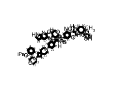 CC(C)Oc1ccccc1[C@@H]1COCCN1C1CC2(CCN(c3ccc(C(=O)NS(=O)(=O)c4cc5c(c([N+](=O)[O-])c4)N[C@@H](C4(F)CCC(C)(OP(=O)(O)O)CC4)CO5)c(N4c5cc6cc[nH]c6nc5O[C@H]5COCC[C@@H]54)c3)CC2)C1